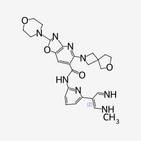 CN/C=C(\C=N)c1cccc(NC(=O)c2cc3oc(N4CCOCC4)nc3nc2N2CC3(CCOC3)C2)n1